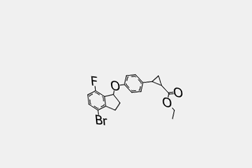 CCOC(=O)C1CC1c1ccc(OC2CCc3c(Br)ccc(F)c32)cc1